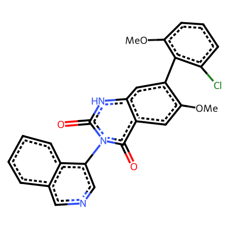 COc1cc2c(=O)n(-c3cncc4ccccc34)c(=O)[nH]c2cc1-c1c(Cl)cccc1OC